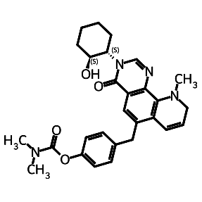 CN(C)C(=O)Oc1ccc(Cc2cc3c(=O)n([C@H]4CCCC[C@@H]4O)cnc3c3c2C=CCN3C)cc1